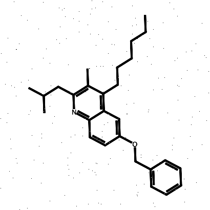 [CH2]c1c(CC(C)C)nc2ccc(OCc3ccccc3)cc2c1CCCCCC